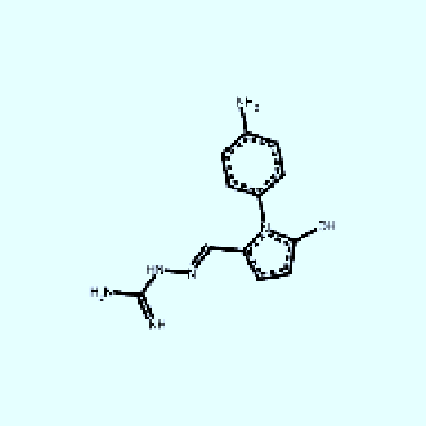 N=C(N)N/N=C/c1ccc(O)n1-c1ccc(N)cc1